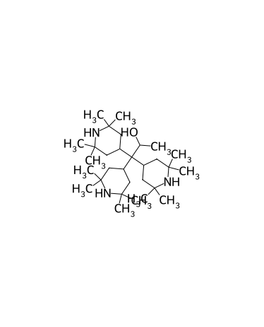 CC(O)C(C1CC(C)(C)NC(C)(C)C1)(C1CC(C)(C)NC(C)(C)C1)C1CC(C)(C)NC(C)(C)C1